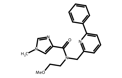 COCCN(Cc1cccc(-c2ccccc2)n1)C(=O)c1cn(C)cn1